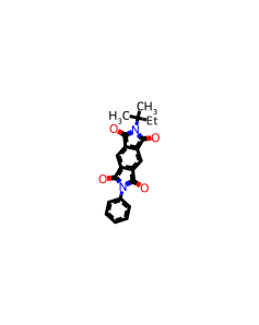 CCC(C)(C)n1c(=O)c2cc3c(=O)n(-c4ccccc4)c(=O)c3cc2c1=O